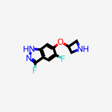 Fc1cc2c(F)n[nH]c2cc1OC1CNC1